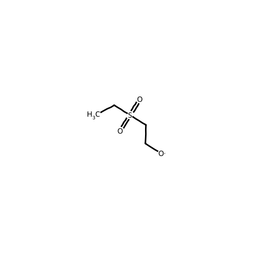 CCS(=O)(=O)CC[O]